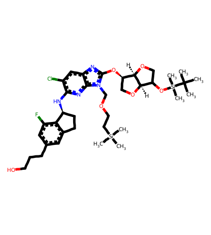 CC(C)(C)[Si](C)(C)OC1CO[C@H]2[C@@H]1OC[C@H]2Oc1nc2cc(Cl)c(N[C@H]3CCc4cc(CCCO)cc(F)c43)nc2n1COCC[Si](C)(C)C